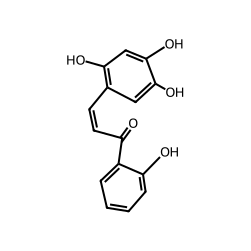 O=C(/C=C\c1cc(O)c(O)cc1O)c1ccccc1O